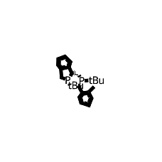 Cc1ccccc1CP(C[C@H]1c2ccccc2CP1C(C)(C)C)C(C)(C)C